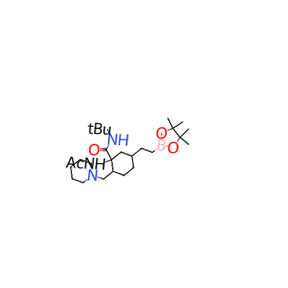 CC(=O)NC1(C(=O)NC(C)(C)C)CC(CCB2OC(C)(C)C(C)(C)O2)CCC1CN1CCCCC1